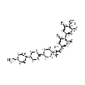 CC1COC(C2CCC(C3CCC(C(F)(F)Oc4cc(F)c(-c5cc(F)c(C(F)(F)F)c(F)c5)c(F)c4)CC3)CC2)OC1